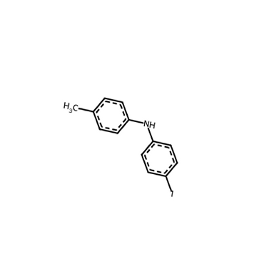 Cc1ccc(Nc2ccc(I)cc2)cc1